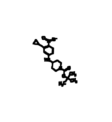 CC(C)(C)OC(=O)N1CCC(Nc2ccc([N+](=O)[O-])c(C3CC3)c2)CC1